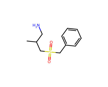 C[C](CN)CS(=O)(=O)Cc1ccccc1